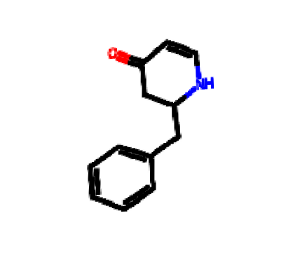 O=C1C=CNC(Cc2ccccc2)C1